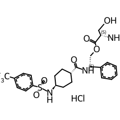 Cl.N[C@@H](CO)C(=O)OC[C@@H](NC(=O)[C@H]1CC[C@H](NS(=O)(=O)c2ccc(C(F)(F)F)cc2)CC1)c1ccccc1